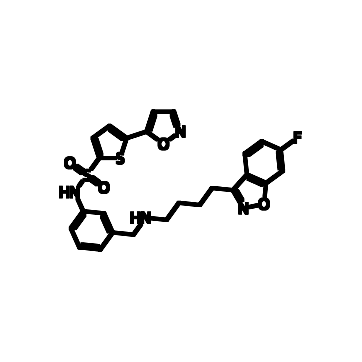 O=S(=O)(Nc1cccc(CNCCCCc2noc3cc(F)ccc23)c1)c1ccc(-c2ccno2)s1